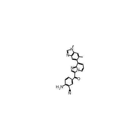 Cc1cc2c(cc1-c1cccn3c(C(=O)c4ccc(N)c(C#N)c4)cnc13)ncn2C